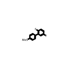 CSc1ccc(-c2cc(F)ccc2F)cc1